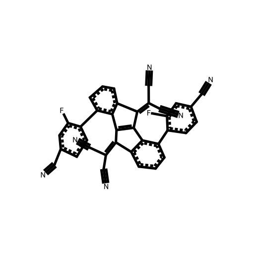 N#CC(C#N)=C1C2=C(C(=C(C#N)C#N)c3cccc(-c4ccc(C#N)cc4F)c32)c2c1cccc2-c1ccc(C#N)cc1F